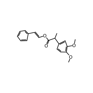 COc1ccc(C(C)C(=O)OC=Cc2ccccc2)cc1OC